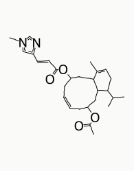 CC(=O)OC1CC=CCC(OC(=O)C=Cc2cn(C)cn2)CC2C(C)=CCC(C(C)C)C2C1